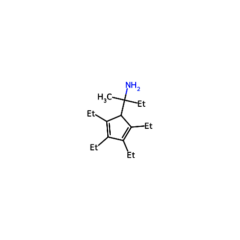 CCC1=C(CC)C(C(C)(N)CC)C(CC)=C1CC